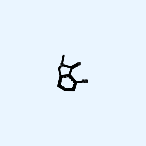 CN1Cc2cccc(N=O)c2C1=O